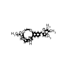 COC(=O)N[C@H]1COCCCOCc2cc3cc(C[C@@H]4CCCN4C(=O)[C@@H](C)C(C)C)ccc3cc2-c2c[nH]c(n2)[C@@H]2CCCN2C1=O